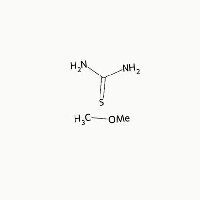 COC.NC(N)=S